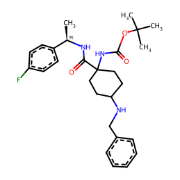 C[C@@H](NC(=O)C1(NC(=O)OC(C)(C)C)CCC(NCc2ccccc2)CC1)c1ccc(F)cc1